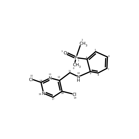 CP(C)(=O)c1ccccc1NCc1nc(Cl)ncc1Cl